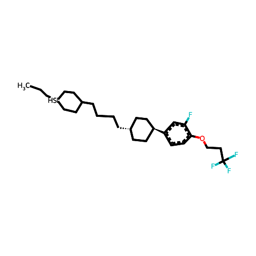 CCC[SiH]1CCC(CCCC[C@H]2CC[C@H](c3ccc(OCCC(F)(F)F)c(F)c3)CC2)CC1